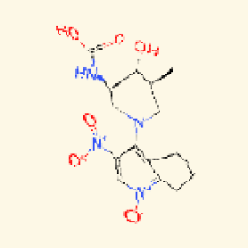 C[C@H]1CN(c2c([N+](=O)[O-])c[n+]([O-])c3c2CCC3)C[C@@H](NC(=O)O)[C@@H]1O